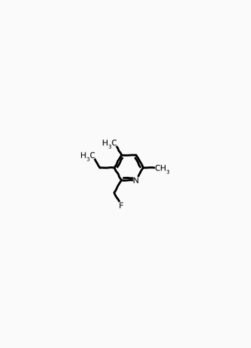 CCc1c(C)cc(C)nc1CF